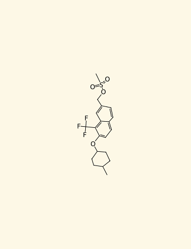 CC1CCC(Oc2ccc3ccc(COS(C)(=O)=O)cc3c2C(F)(F)F)CC1